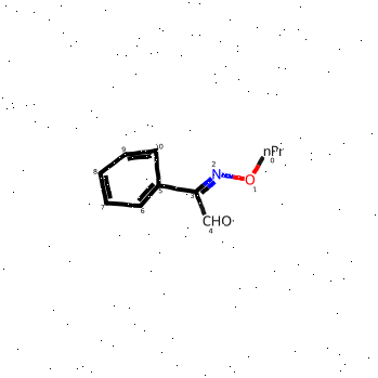 CCCON=C([C]=O)c1ccccc1